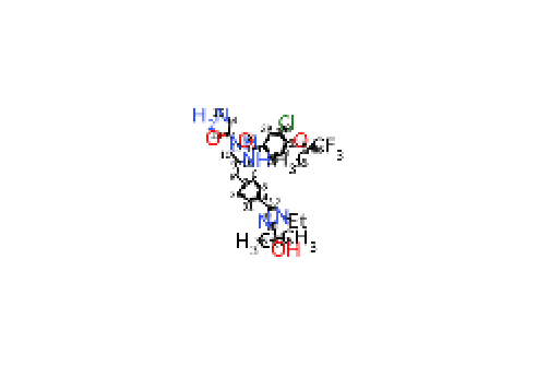 CCn1cc(-c2ccc(C[C@@H](CNC(=O)CN)NC(=O)c3ccc(O[C@H](C)C(F)(F)F)c(Cl)c3)cc2)nc1C(C)(C)O